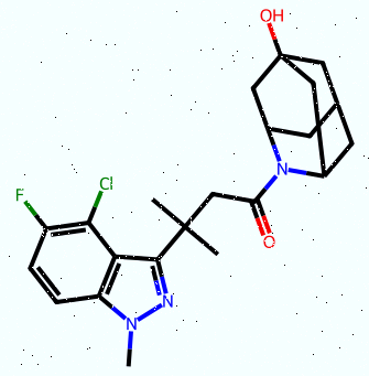 Cn1nc(C(C)(C)CC(=O)N2C3CC4CC2CC(O)(C4)C3)c2c(Cl)c(F)ccc21